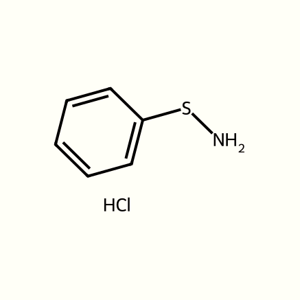 Cl.NSc1ccccc1